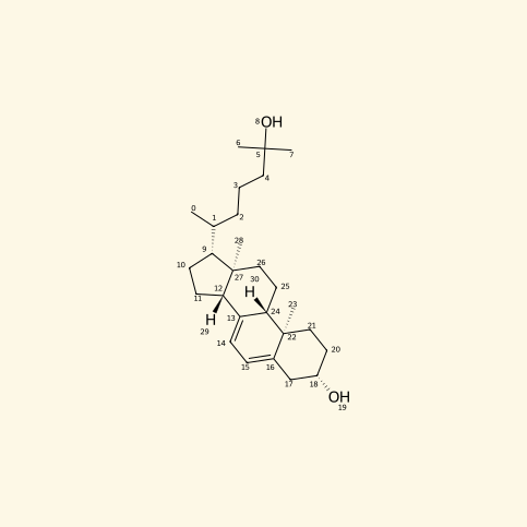 CC(CCCC(C)(C)O)[C@H]1CC[C@H]2C3=CC=C4C[C@@H](O)CC[C@]4(C)[C@H]3CC[C@]12C